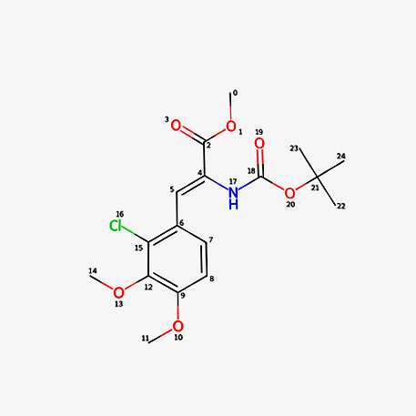 COC(=O)C(=Cc1ccc(OC)c(OC)c1Cl)NC(=O)OC(C)(C)C